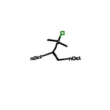 CCCCCCCCCC(CCCCCCCC)[Si](C)(C)Cl